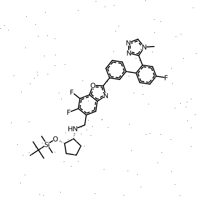 Cn1cnnc1-c1cc(F)ccc1-c1cccc(-c2nc3cc(CN[C@@H]4CCC[C@@H]4O[Si](C)(C)C(C)(C)C)c(F)c(F)c3o2)c1